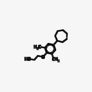 Cc1cc(C2CCCCCC2)cc(C)c1OCCO